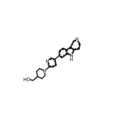 OCC1CCN(c2ccc(-c3ccc4c(c3)[nH]c3ccncc34)cn2)CC1